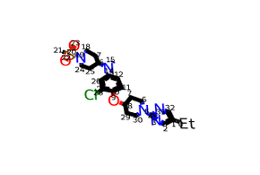 CCc1cnc(N2CCC(Oc3ccc(N(C)C4CCN(S(C)(=O)=O)CC4)cc3Cl)CC2)nc1